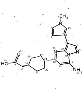 Cn1ccc(-c2cnn3c(N)cc([C@H]4CC[C@H](CC(=O)O)CC4)nc23)c1